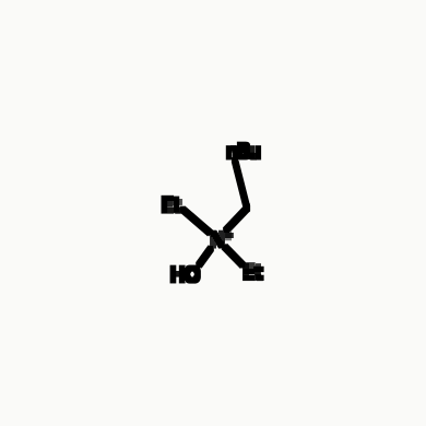 CCCCC[N+](O)(CC)CC